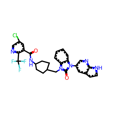 O=C(NC1CCC(Cn2c(=O)n(-c3cnc4[nH]ccc4c3)c3ccccc32)CC1)c1cc(Cl)cnc1C(F)(F)F